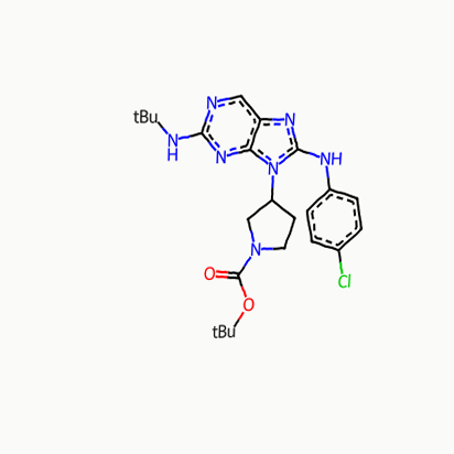 CC(C)(C)Nc1ncc2nc(Nc3ccc(Cl)cc3)n(C3CCN(C(=O)OC(C)(C)C)C3)c2n1